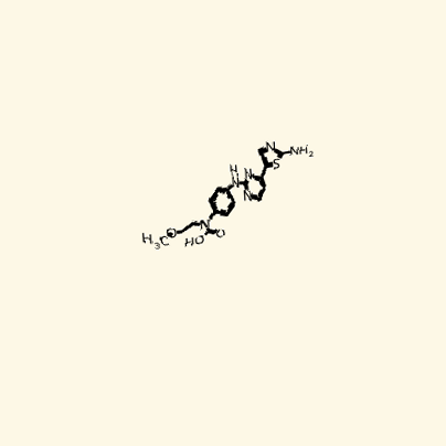 COCCN(C(=O)O)c1ccc(Nc2nccc(-c3cnc(N)s3)n2)cc1